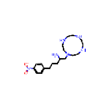 NC(CCCc1ccc([N+](=O)[O-])cc1)CN1CCNCCNCCNCC1